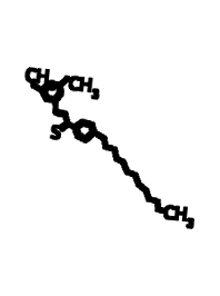 CCCCCCCCCCCCCc1ccc(C(=S)C=Cc2cc(CC)cc(CC)c2)cc1